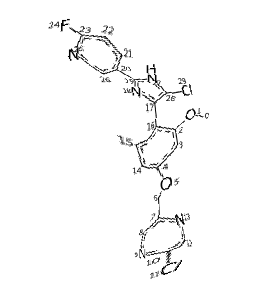 COc1cc(OCc2cnc(Cl)cn2)ccc1-c1nc(-c2ccc(F)nc2)[nH]c1Cl